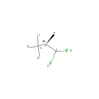 C[C@@H](C(F)F)C(C)(C)C